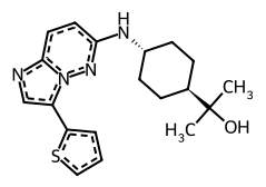 CC(C)(O)[C@H]1CC[C@H](Nc2ccc3ncc(-c4cccs4)n3n2)CC1